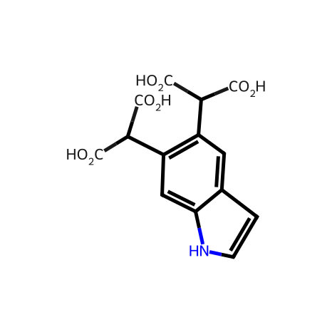 O=C(O)C(C(=O)O)c1cc2cc[nH]c2cc1C(C(=O)O)C(=O)O